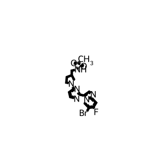 CS(=O)(=O)NCC1CCN(c2ccnc(-c3cnc4cc(F)c(Br)cn34)n2)C1